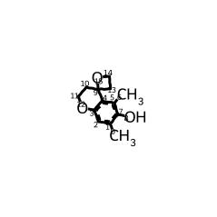 Cc1cc2c(c(C)c1O)C1(CCO2)CCO1